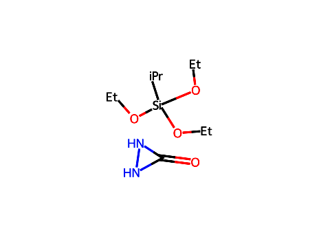 CCO[Si](OCC)(OCC)C(C)C.O=C1NN1